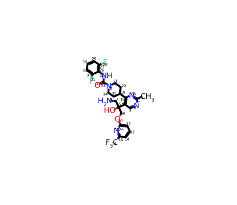 Cc1ncc(C(O)(CN)COc2cccc(C(F)(F)F)n2)c(C2CCN(C(=O)Nc3c(F)cccc3F)CC2)n1